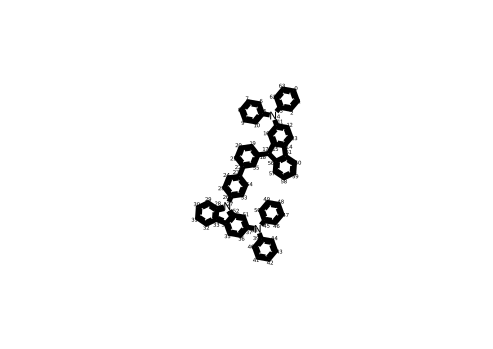 c1ccc(N(c2ccccc2)c2ccc3c(c2)C(c2cccc(-c4ccc(-n5c6ccccc6c6ccc(N(c7ccccc7)c7ccccc7)cc65)cc4)c2)c2ccccc2-3)cc1